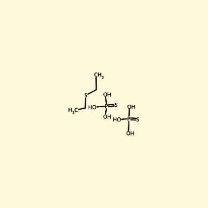 CCSCC.OP(O)(O)=S.OP(O)(O)=S